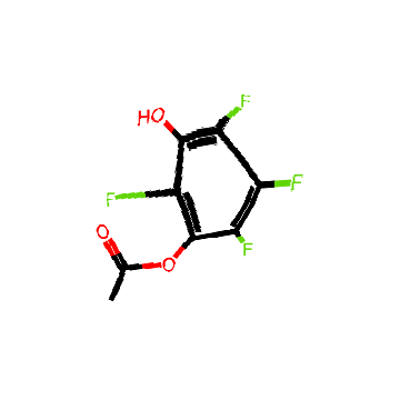 CC(=O)Oc1c(F)c(O)c(F)c(F)c1F